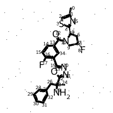 Cc1csc([C@H]2C[C@H](F)CN2C(=O)c2ccc(F)c(-c3nnc([C@](C)(N)Cc4ccccc4)o3)c2)n1